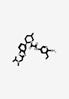 CCc1cc(NC(=O)C(=O)N2CC(C)CC[C@@H]2c2ccc3sc(CN(C)C(C)C)nc3c2)cnc1N